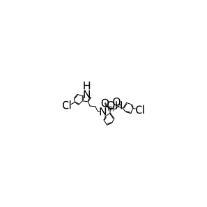 O=C(C[C@]1(O)C(=O)N(CCCc2c[nH]c3ccc(Cl)cc23)c2ccccc21)c1ccc(Cl)cc1